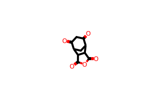 O=C1CC(=O)C2CC1C1C(=O)OC(=O)C21